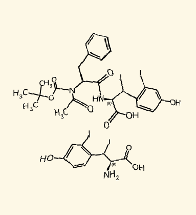 CC(=O)N(C(=O)OC(C)(C)C)C(Cc1ccccc1)C(=O)N[C@H](C(=O)O)C(I)c1ccc(O)cc1I.N[C@H](C(=O)O)C(I)c1ccc(O)cc1I